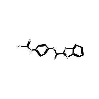 CCCC(=O)Nc1ccc(OC(F)c2nc3ccccc3s2)cc1